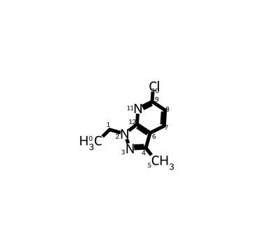 CCn1nc(C)c2ccc(Cl)nc21